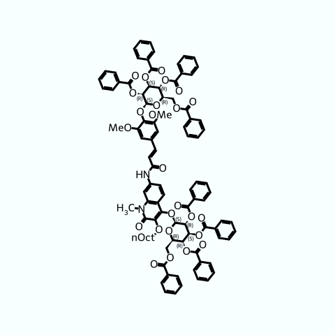 CCCCCCCCOc1c(O[C@@H]2O[C@H](COC(=O)c3ccccc3)[C@@H](OC(=O)c3ccccc3)[C@H](OC(=O)c3ccccc3)[C@H]2OC(=O)c2ccccc2)c2ccc(NC(=O)C=Cc3cc(OC)c(O[C@@H]4O[C@H](COC(=O)c5ccccc5)[C@@H](OC(=O)c5ccccc5)[C@H](OC(=O)c5ccccc5)[C@H]4OC(=O)c4ccccc4)c(OC)c3)cc2n(C)c1=O